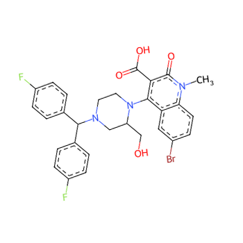 Cn1c(=O)c(C(=O)O)c(N2CCN(C(c3ccc(F)cc3)c3ccc(F)cc3)CC2CO)c2cc(Br)ccc21